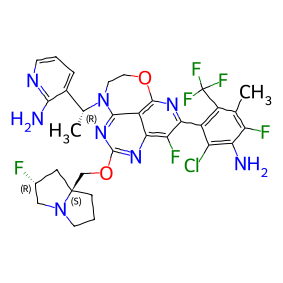 Cc1c(F)c(N)c(Cl)c(-c2nc3c4c(nc(OC[C@@]56CCCN5C[C@H](F)C6)nc4c2F)N([C@H](C)c2cccnc2N)CCO3)c1C(F)(F)F